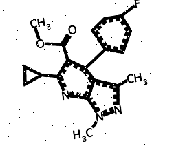 COC(=O)c1c(C2CC2)nc2c(c(C)nn2C)c1-c1ccc(F)cc1